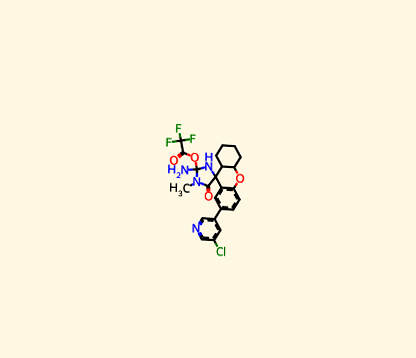 CN1C(=O)C2(NC1(N)OC(=O)C(F)(F)F)c1cc(-c3cncc(Cl)c3)ccc1OC1CCCCC12